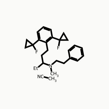 CC#N.CCC(CCc1c(C2(F)CC2)cccc1C1(F)CC1)N(C)CCc1ccccc1